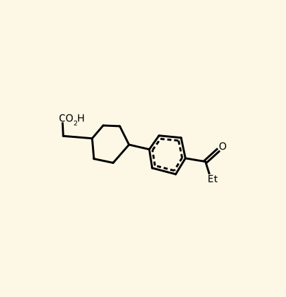 CCC(=O)c1ccc(C2CCC(CC(=O)O)CC2)cc1